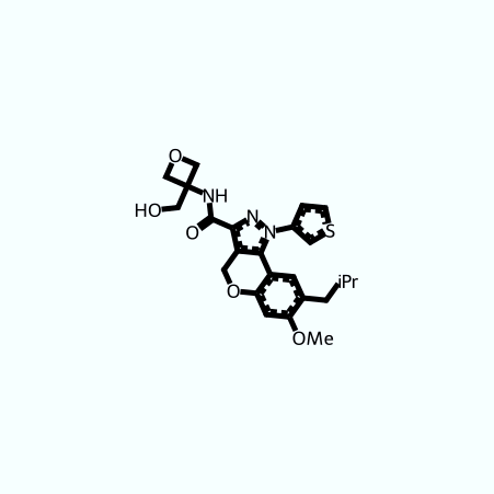 COc1cc2c(cc1CC(C)C)-c1c(c(C(=O)NC3(CO)COC3)nn1-c1ccsc1)CO2